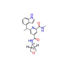 CNC(=O)c1cc(C(=O)N[C@H]2[C@@H]3COC[C@@H]32)cc(C(C)c2cccc3[nH]ccc23)n1